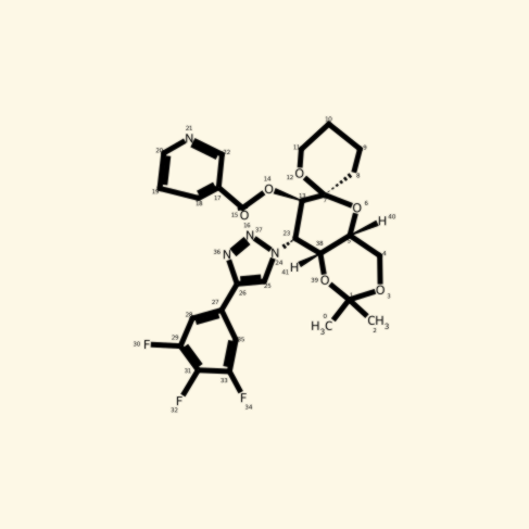 CC1(C)OC[C@H]2O[C@@]3(CCCCO3)[C@H](OC(=O)c3cccnc3)[C@@H](n3cc(-c4cc(F)c(F)c(F)c4)nn3)[C@H]2O1